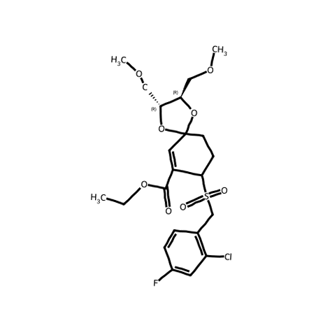 CCOC(=O)C1=CC2(CCC1S(=O)(=O)Cc1ccc(F)cc1Cl)O[C@H](COC)[C@@H](COC)O2